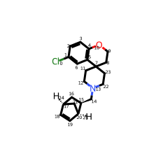 Clc1ccc2c(c1)C1(CCO2)CCN(C[C@@H]2C[C@@H]3C=C[C@H]2C3)CC1